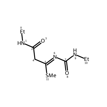 CCNC(=O)C/C(=N/C(=O)NCC)SC